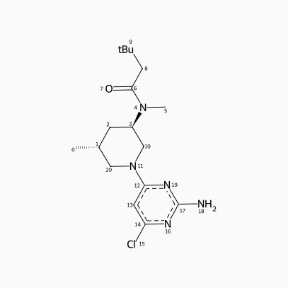 C[C@@H]1C[C@@H](N(C)C(=O)CC(C)(C)C)CN(c2cc(Cl)nc(N)n2)C1